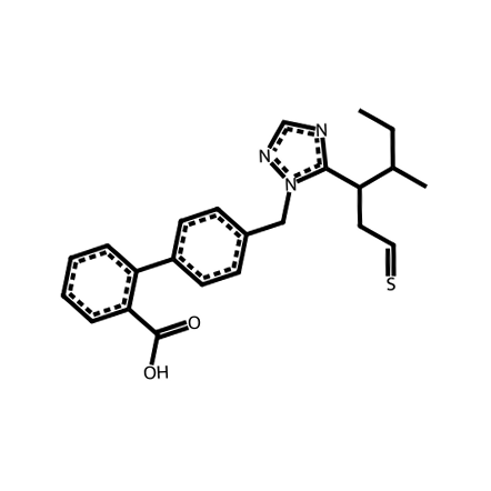 CCC(C)C(CC=S)c1ncnn1Cc1ccc(-c2ccccc2C(=O)O)cc1